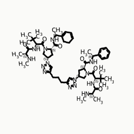 CN[C@@H](C)C(=O)N[C@H](C(=O)N1C[C@@H](n2cc(CCCc3cn([C@H]4C[C@@H](C(=O)N[C@H](C)c5ccccc5)N(C(=O)[C@@H](NC(=O)[C@H](C)NC)C(C)(C)C)C4)nn3)nn2)C[C@H]1C(=O)N[C@H](C)C1=CC=CCC1)C(C)(C)C